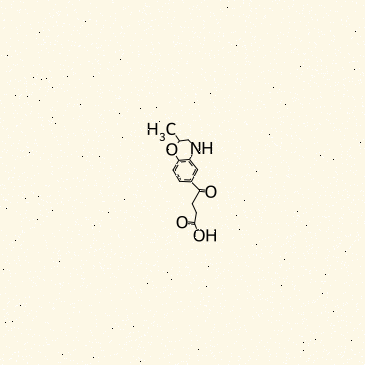 CC1CNc2cc(C(=O)CCC(=O)O)ccc2O1